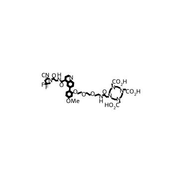 COc1ccc(-c2ccc3nccc(C(=O)NCC(=O)N4CC(F)(F)C[C@H]4C#N)c3c2)c(OCCOCCOCCNC(=O)CN2CCN(CC(=O)O)CCN(CC(=O)O)CCN(CC(=O)O)CC2)c1